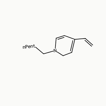 C=CC1=CCN(CCCCCC)C=C1